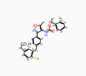 Cc1onc(-c2ccc(Cc3cc(CC(=O)O)ccc3F)cc2)c1NC(=O)OC(C)c1ccccc1F